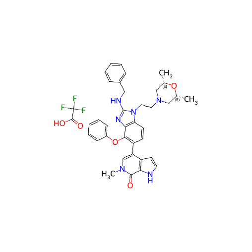 C[C@@H]1CN(CCn2c(NCc3ccccc3)nc3c(Oc4ccccc4)c(-c4cn(C)c(=O)c5[nH]ccc45)ccc32)C[C@H](C)O1.O=C(O)C(F)(F)F